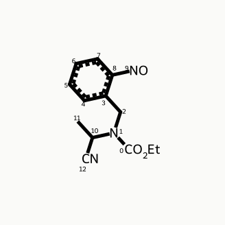 CCOC(=O)N(Cc1ccccc1N=O)C(C)C#N